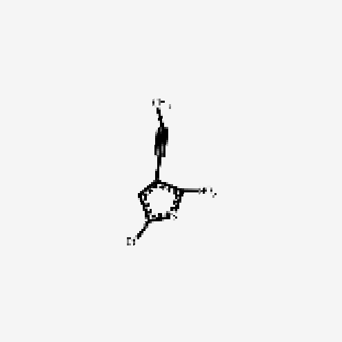 CC#Cc1cc(CC)sc1[N+](=O)[O-]